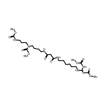 CC(C)(C)OC(=O)N=C(NCCCCCCNC(=O)CC(=O)NCCCCN(CCCNC(=O)OC(C)(C)C)C(=O)OC(C)(C)C)NC(=O)OC(C)(C)C